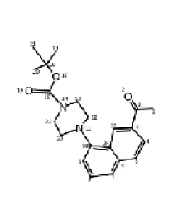 CC(=O)c1ccc2cccc(N3CCN(C(=O)OC(C)(C)C)CC3)c2c1